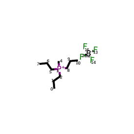 CCC[P+](C)(CCC)CCC.F[B-](F)(F)F